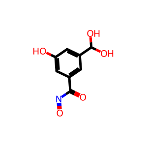 O=NC(=O)c1cc(O)cc(C(O)O)c1